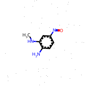 CNc1cc(N=O)ccc1N